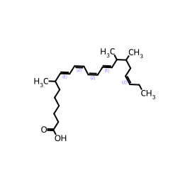 CC/C=C\CC(C)C(C)/C=C/C=C\C=C/C=C/C(C)CCCCCC(=O)O